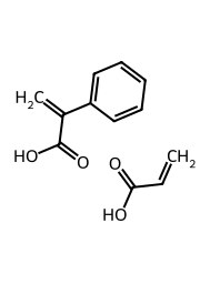 C=C(C(=O)O)c1ccccc1.C=CC(=O)O